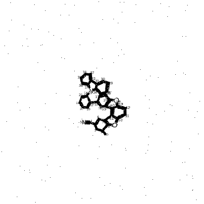 CC1CC(C#N)=Cc2c1oc1ccc3oc4ccc(-c5ccccc5-n5c6ccccc6c6ccccc65)cc4c3c21